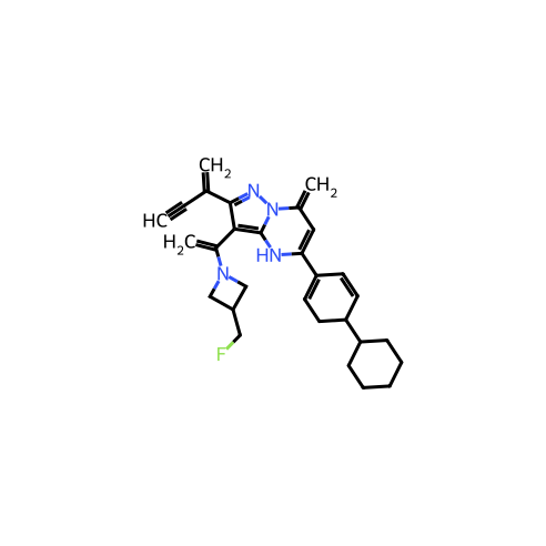 C#CC(=C)c1nn2c(c1C(=C)N1CC(CF)C1)NC(C1=CCC(C3CCCCC3)C=C1)=CC2=C